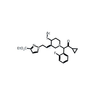 CCOC(=O)c1ccn(C/C=C2/CN(C(C(=O)C3CC3)c3ccccc3F)CCC2SC(C)=O)n1